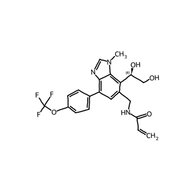 C=CC(=O)NCc1cc(-c2ccc(OC(F)(F)F)cc2)c2ncn(C)c2c1[C@@H](O)CO